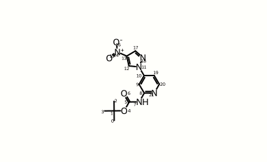 CC(C)(C)OC(=O)Nc1cc(-n2cc([N+](=O)[O-])cn2)ccn1